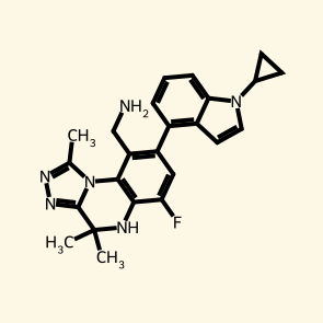 Cc1nnc2n1-c1c(CN)c(-c3cccc4c3ccn4C3CC3)cc(F)c1NC2(C)C